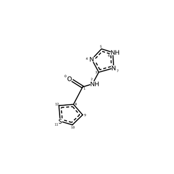 O=C(Nc1nc[nH]n1)c1ccsc1